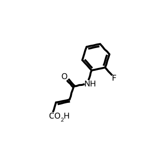 O=C(O)C=CC(=O)Nc1ccccc1F